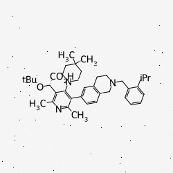 Cc1nc(C)c([C@H](OC(C)(C)C)C(=O)O)c(N2CCC(C)(C)CC2)c1-c1ccc2c(c1)CCN(Cc1ccccc1C(C)C)C2